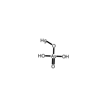 O=[As](O)(O)[O][Hg]